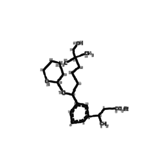 CCOC(=O)CC(C)c1cccc(C(CCCC(C)(C)CO)OC2CCCCO2)c1